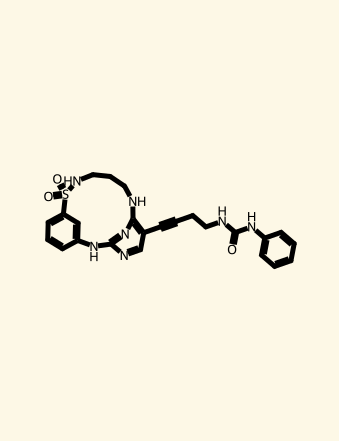 O=C(NCCC#Cc1cnc2nc1NCCCNS(=O)(=O)c1cccc(c1)N2)Nc1ccccc1